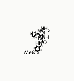 COc1ccc(CNC(=O)c2nc3c(-c4ccco4)nc(N)nc3[nH]2)cc1